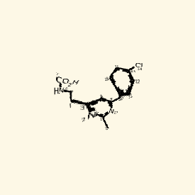 Cc1nc(CCNC(=O)O)cc(-c2ccc(Cl)cc2)n1